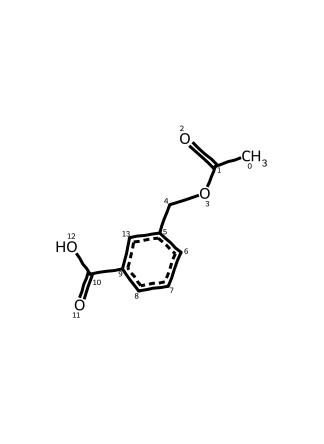 CC(=O)OCc1cccc(C(=O)O)c1